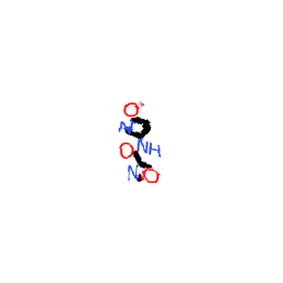 COc1ccc(NC(=O)c2cocn2)cn1